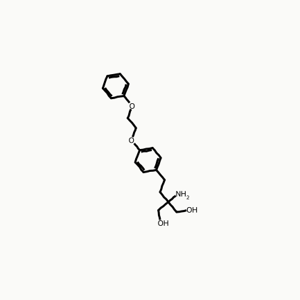 NC(CO)(CO)CCc1ccc(OCCOc2ccccc2)cc1